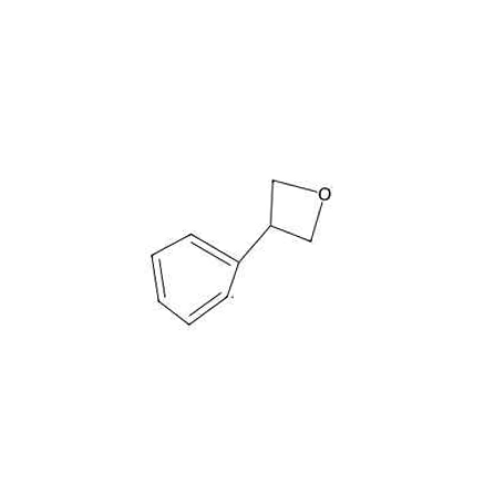 [c]1ccccc1C1COC1